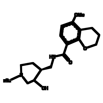 CCCCN1CC[C@@H](CNC(=O)c2ccc(OC)c3c2OCCC3)C(O)C1